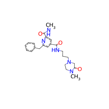 CNC(=O)c1cc(C(=O)NCCCN2CCN(C)C(=O)C2)cc(Cc2ccccc2)n1